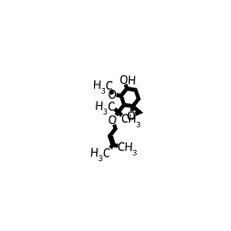 COC1C(O)CCC2(CO2)C1C(C)(C)OCC=C(C)C